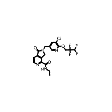 CCNC(=O)c1nccc2c1CN(Cc1cnc(OCC(F)(F)C(F)F)c(Cl)c1)C2=O